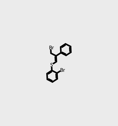 BrCC(=CSc1ccccc1Br)c1ccccc1